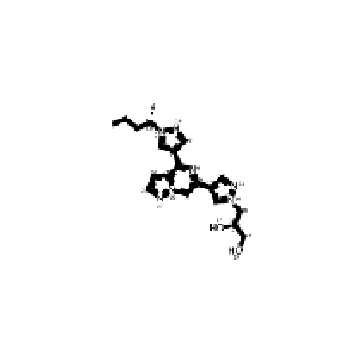 CCC[C@H](C)n1cc(-c2nc(-c3cnn(C[C@H](O)CO)c3)cn3nccc23)cn1